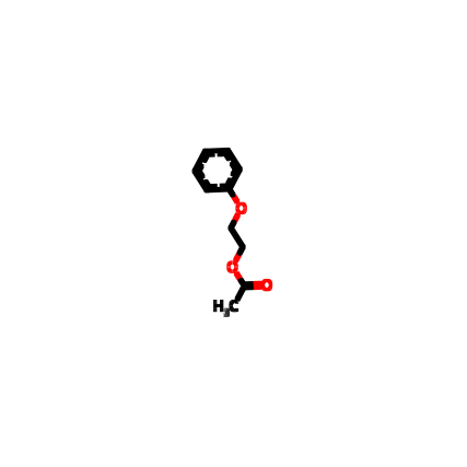 CC(=O)OCCOc1ccccc1